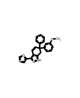 COc1cccc(C2(c3ccccc3)C=Cc3c(-c4cnco4)n[nH]c3C2)c1